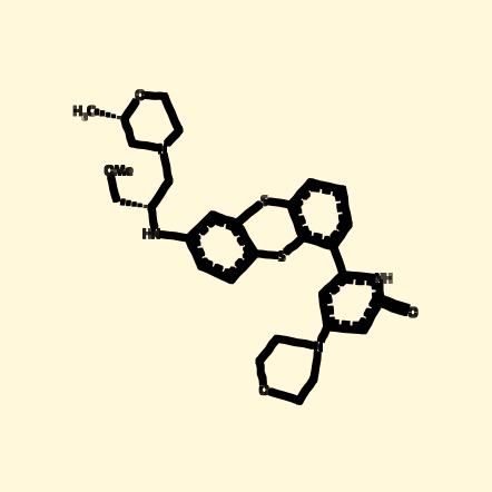 COC[C@H](CN1CCO[C@@H](C)C1)Nc1ccc2c(c1)Sc1cccc(-c3cc(N4CCOCC4)cc(=O)[nH]3)c1S2